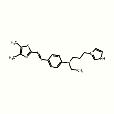 CCN(CCC[n+]1cc[nH]c1)c1ccc(N=Nc2nc(C)c(C)s2)cc1